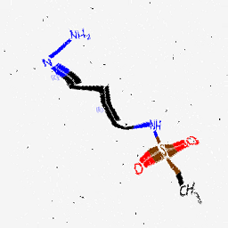 CS(=O)(=O)N/C=C/C=N\N